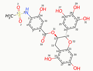 CS(=O)(=O)Nc1ccc(C(=O)O[C@@H]2Cc3c(O)cc(O)cc3O[C@H]2c2cc(O)c(O)c(O)c2)cc1O